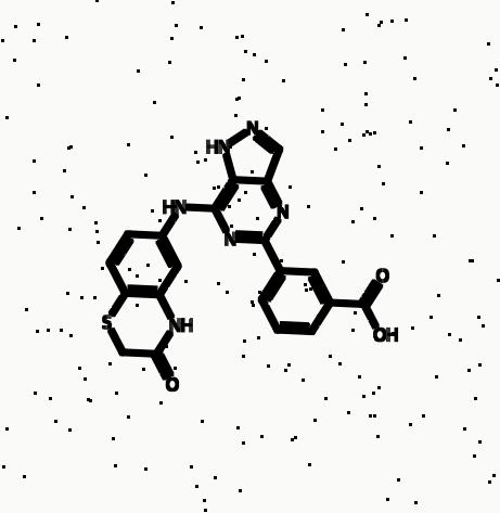 O=C1CSc2ccc(Nc3nc(-c4cccc(C(=O)O)c4)nc4cn[nH]c34)cc2N1